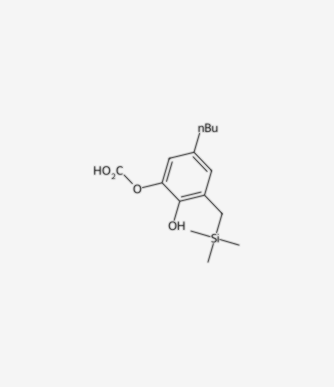 CCCCc1cc(C[Si](C)(C)C)c(O)c(OC(=O)O)c1